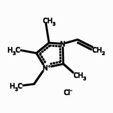 C=Cn1c(C)c(C)[n+](CC)c1C.[Cl-]